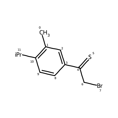 Cc1cc(C(=S)CBr)ccc1C(C)C